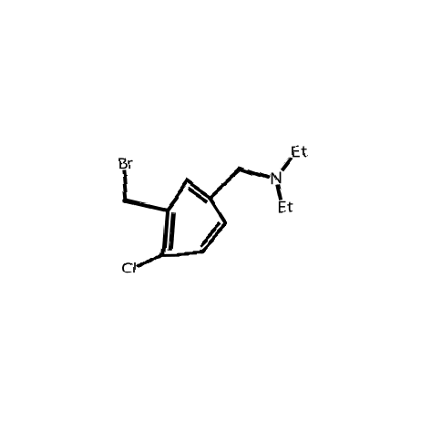 CCN(CC)Cc1ccc(Cl)c(CBr)c1